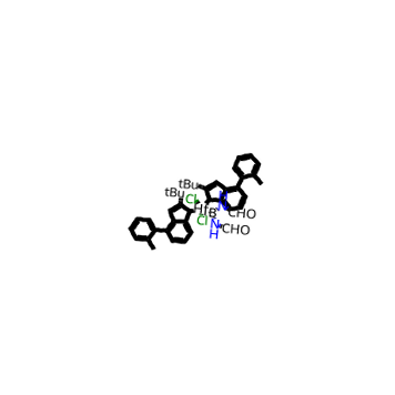 Cc1ccccc1-c1cccc2c1C=C(C(C)(C)C)[CH]2[Hf]([Cl])([Cl])([B](NC=O)NC=O)[CH]1C(C(C)(C)C)=Cc2c(-c3ccccc3C)cccc21